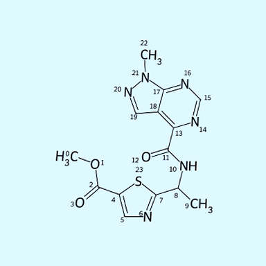 COC(=O)c1cnc(C(C)NC(=O)c2ncnc3c2cnn3C)s1